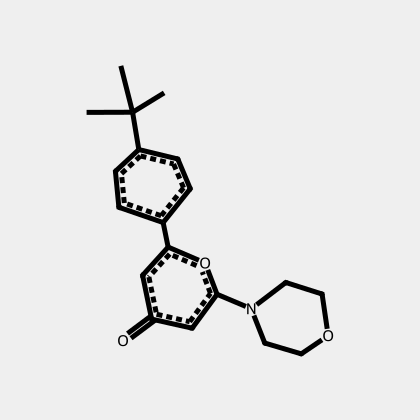 CC(C)(C)c1ccc(-c2cc(=O)cc(N3CCOCC3)o2)cc1